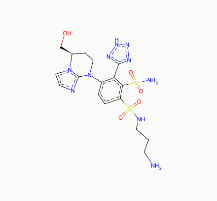 NCCCNS(=O)(=O)c1ccc(N2CC[C@H](CO)n3ccnc32)c(-c2nn[nH]n2)c1S(N)(=O)=O